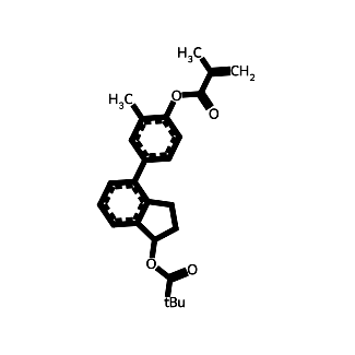 C=C(C)C(=O)Oc1ccc(-c2cccc3c2CCC3OC(=O)C(C)(C)C)cc1C